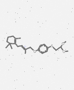 COC(CSc1ccc(OC/C(C)=C/CC2=C(C)CCCC2(C)C)cc1)OC